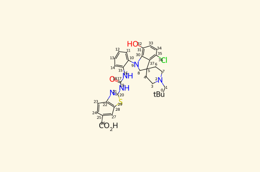 CC(C)(C)CN1CCC2(CC1)CN(c1ccccc1NC(=O)Nc1nc3ccc(C(=O)O)cc3s1)c1c(O)ccc(Cl)c12